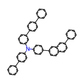 c1ccc(-c2ccc(-c3cccc(N(c4ccc(-c5ccccc5)cc4)c4ccc(-c5ccc6ccc(-c7ccccc7)cc6c5)cc4)c3)cc2)cc1